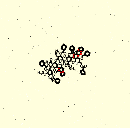 CCC1O[C@@H](O[C@@H]2C(C(=O)OC)O[C@@H](O[C@@H]3C(COC(=O)c4ccccc4)O[C@H](OC)[C@@H](N=[N+]=[N-])C3OCc3ccccc3)C(OC(=O)c3ccccc3)[C@@H]2OCc2ccccc2)[C@@H](N=[N+]=[N-])C(OC(=O)c2ccccc2)[C@@H]1O[C@@H]1OC(C(=O)OC)[C@@H](O[C@H]2OC(COC(=O)c3ccccc3)[C@@H](OCc3ccccc3)[C@H](OCc3ccccc3)C2N=[N+]=[N-])[C@H](OCc2ccccc2)C1OCc1ccccc1